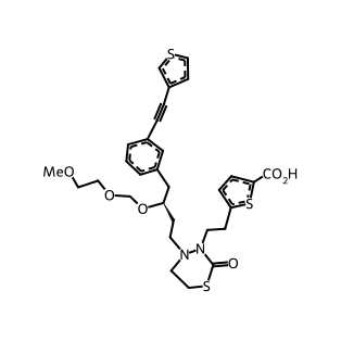 COCCOCO[C@H](CCN1CCSC(=O)N1CCc1ccc(C(=O)O)s1)Cc1cccc(C#Cc2ccsc2)c1